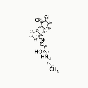 CCCCNC[C@H](O)CO/N=C1\CCCC[C@@H]1Cc1ccc(Cl)c(Cl)c1